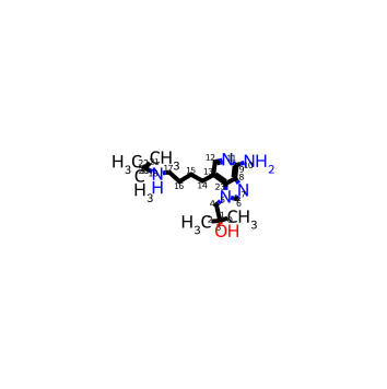 CC(C)(O)Cn1cnc2c(N)ncc(CCCCNC(C)(C)C)c21